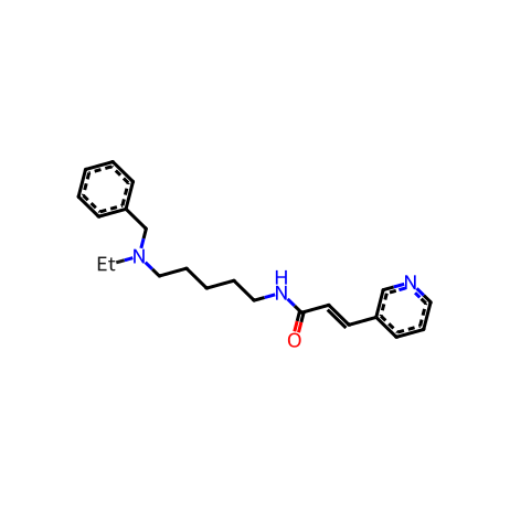 CCN(CCCCCNC(=O)C=Cc1cccnc1)Cc1ccccc1